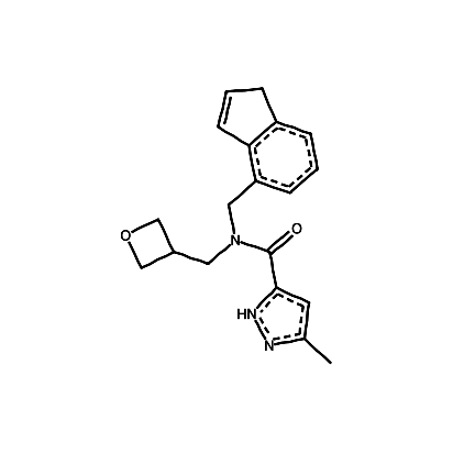 Cc1cc(C(=O)N(Cc2cccc3c2C=CC3)CC2COC2)[nH]n1